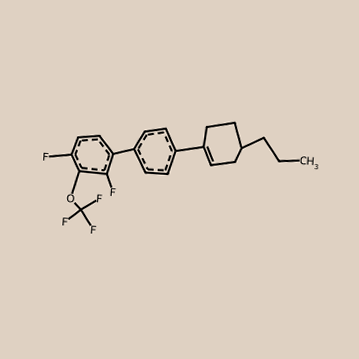 CCCC1CC=C(c2ccc(-c3ccc(F)c(OC(F)(F)F)c3F)cc2)CC1